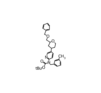 Cc1cccc(CN(C(=O)OC(C)(C)C)c2ccc(C3CCOC(COCc4ccccc4)C3)cn2)c1